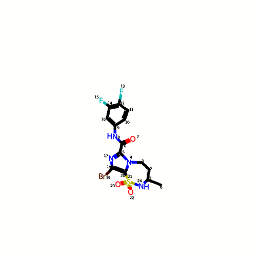 CC1CCn2c(C(=O)Nc3ccc(F)c(F)c3)nc(Br)c2S(=O)(=O)N1